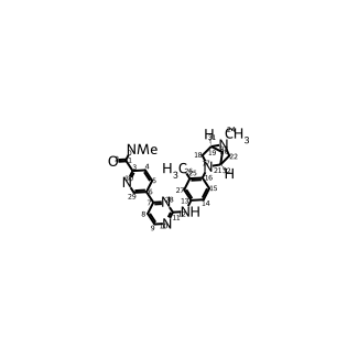 CNC(=O)c1ccc(-c2ccnc(Nc3ccc(N4C[C@@H]5C[C@H]4CN5C)c(C)c3)n2)cn1